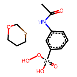 C1COCSC1.CC(=O)Nc1cccc([As](=O)(O)OO)c1